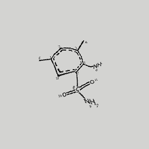 Cc1cc(C)c([NH])c(S(N)(=O)=O)c1